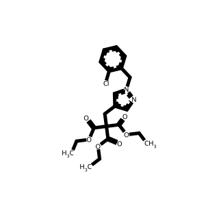 CCOC(=O)C(Cc1cnn(Cc2ccccc2Cl)c1)(C(=O)OCC)C(=O)OCC